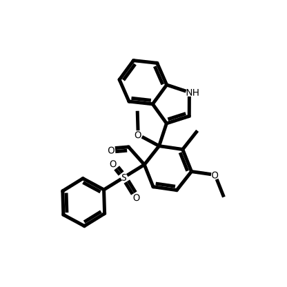 COC1=C(C)C(OC)(c2c[nH]c3ccccc23)C(C=O)(S(=O)(=O)c2ccccc2)C=C1